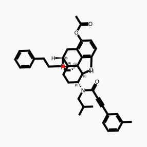 CC(=O)Oc1ccc2c3c1C[C@@H]1[C@@H]4CC[C@@H](N(CC(C)C)C(=O)C#Cc5cccc(C)c5)[C@H](O2)[C@]34CCN1CCc1ccccc1